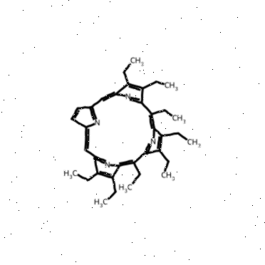 CCC1=C(CC)C2=NC1=CC1=NC(=CC3=NC(=C(CC)C4=NC(=C2CC)C(CC)=C4CC)C(CC)=C3CC)C=C1